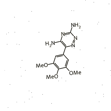 COc1cc(-c2nnc(N)nc2N)cc(OC)c1OC